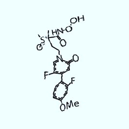 COc1ccc(-c2cc(=O)n(CCC(C)(C(=O)NOO)[S+](C)[O-])cc2F)c(F)c1